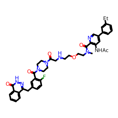 CCc1cccc(-c2cnc(C(=O)N(C)CCOCCNCC(=O)N3CCN(C(=O)c4cc(Cc5n[nH]c(=O)c6ccccc56)ccc4F)CC3)c(NC(C)=O)c2)c1